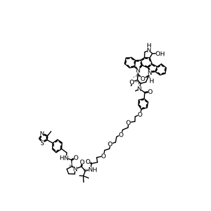 CO[C@@H]1[C@H](N(C)C(=O)c2ccc(OCCOCCOCCOCCOCCC(=O)N[C@H](C(=O)N3CCC[C@H]3C(=O)NCc3ccc(-c4scnc4C)cc3)C(C)(C)C)cc2)C[C@H]2O[C@]1(C)n1c3ccccc3c3c4c(c5c6ccccc6n2c5c31)C(O)NC4